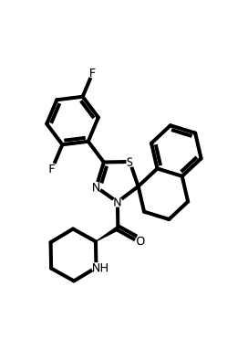 O=C([C@@H]1CCCCN1)N1N=C(c2cc(F)ccc2F)SC12CCCc1ccccc12